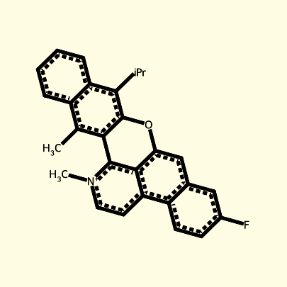 Cc1c2c(c(C(C)C)c3ccccc13)Oc1cc3cc(F)ccc3c3cc[n+](C)c-2c13